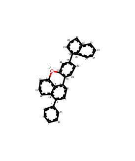 c1ccc(-c2ccc3c4c(cccc24)Oc2cc(-c4cccc5ccccc45)ccc2-3)cc1